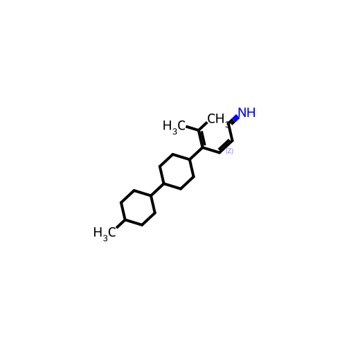 CC(C)=C(/C=C\C=N)C1CCC(C2CCC(C)CC2)CC1